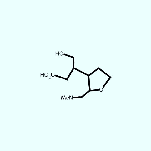 CNCC1OCCC1C(CO)CC(=O)O